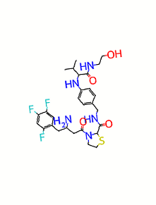 CC(C)C(Nc1ccc(CNC(=O)C2SCCN2C(=O)CC(N)Cc2cc(F)c(F)cc2F)cc1)C(=O)NCCO